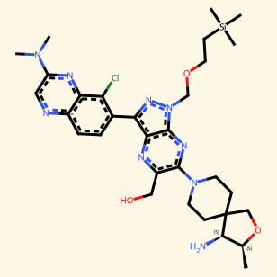 C[C@@H]1OCC2(CCN(c3nc4c(nc3CO)c(-c3ccc5ncc(N(C)C)nc5c3Cl)nn4COCC[Si](C)(C)C)CC2)[C@@H]1N